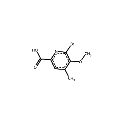 COc1c(C)cc(C(=O)O)nc1Br